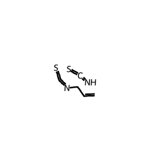 C=CCN=C=S.N=C=S